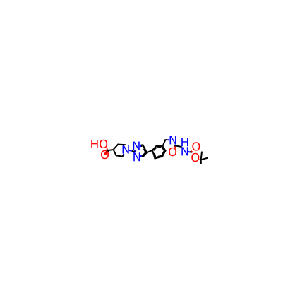 CN(Cc1cccc(-c2cnc(N3CCC(C(=O)O)CC3)nc2)c1)C(=O)CNC(=O)OC(C)(C)C